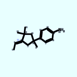 C/C=C1\CC(C)(c2ccc(N)cc2)CC1(C)C